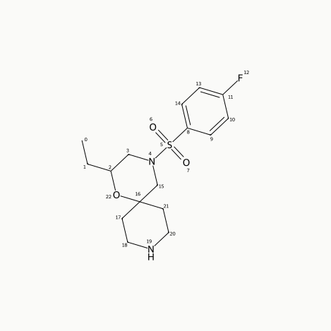 CCC1CN(S(=O)(=O)c2ccc(F)cc2)CC2(CCNCC2)O1